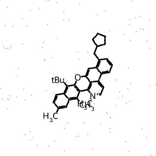 Cc1ccc2c(C(C)(C)C)c3c(c(C)c2c1)-c1c2c(cc4c(CC5CCCC5)cccc4c2cc[n+]1C)O3